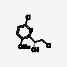 COc1ccc(Cl)nc1[C@@H](O)CCl